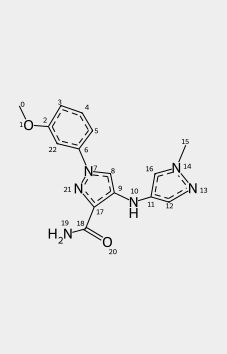 COc1cccc(-n2cc(Nc3cnn(C)c3)c(C(N)=O)n2)c1